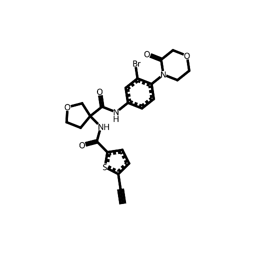 C#Cc1ccc(C(=O)NC2(C(=O)Nc3ccc(N4CCOCC4=O)c(Br)c3)CCOC2)s1